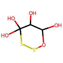 OC1OSSC(O)(O)C1O